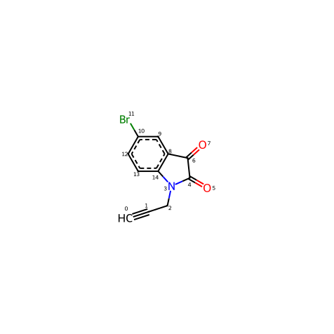 C#CCN1C(=O)C(=O)c2cc(Br)ccc21